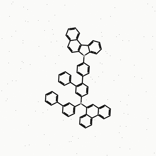 c1ccc(-c2cccc(N(c3ccc(-c4ccc(-n5c6ccccc6c6c7ccccc7ccc65)cc4)c(-c4ccccc4)c3)c3cc4ccccc4c4ccccc34)c2)cc1